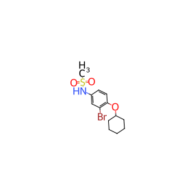 CS(=O)(=O)Nc1ccc(OC2CCCCC2)c(Br)c1